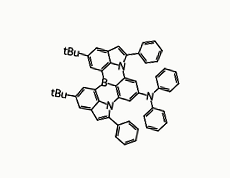 CC(C)(C)c1cc2c3c(c1)cc(-c1ccccc1)n3-c1cc(N(c3ccccc3)c3ccccc3)cc3c1B2c1cc(C(C)(C)C)cc2cc(-c4ccccc4)n-3c12